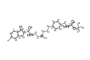 Cc1ccc2[nH]c(C(=O)NCCN(C)CCCc3ccc(CNC(=O)OC(C)(C)C)cc3)cc2c1